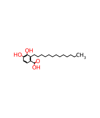 CCCCCCCCCCCCCc1c(C(=O)O)ccc(O)c1O